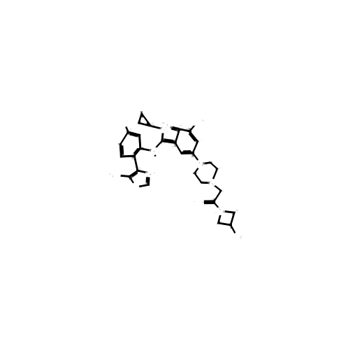 CN(c1cc(F)ccc1-c1ncsc1C#N)c1c2cc(N3CCN(CC(=O)N4CC(O)C4)CC3)cc(F)c2nn1C1CC1